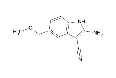 COCc1ccc2[nH]c(N)c(C#N)c2c1